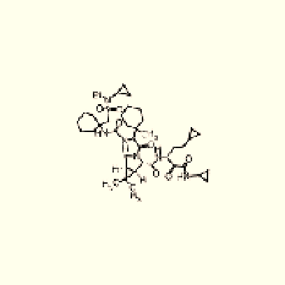 CCN(C1CC1)S(=O)(=O)CC1(NC(=O)N[C@H](C(=O)N2C[C@H]3[C@@H]([C@H]2C(=O)N[C@@H](CCC2CC2)C(=O)C(=O)NC2CC2)C3(C)C)C2(C)CCCCC2)CCCCC1